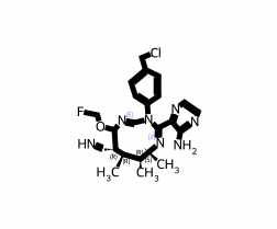 C[C@@H]1[C@@H](C)[C@H](C=N)C(OCF)/N=C/N(c2ccc(CCl)cc2)/C(c2nccnc2N)=N\[C@H]1C